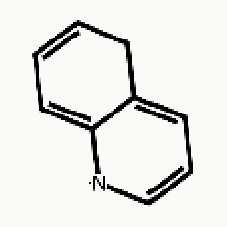 C1=CCC2=CC=C[N]C2=C1